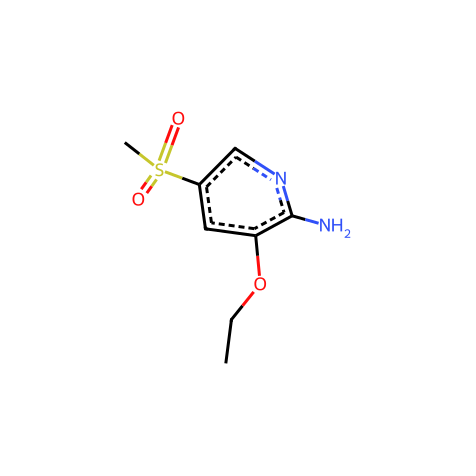 CCOc1cc(S(C)(=O)=O)cnc1N